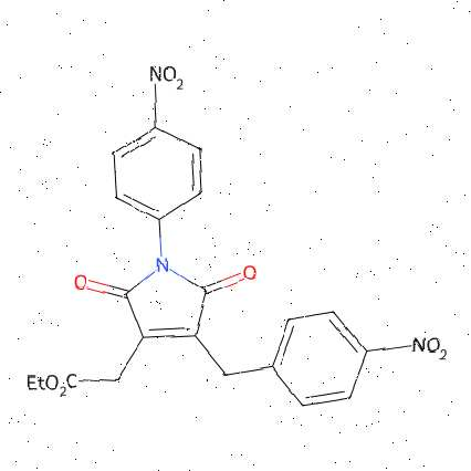 CCOC(=O)CC1=C(Cc2ccc([N+](=O)[O-])cc2)C(=O)N(c2ccc([N+](=O)[O-])cc2)C1=O